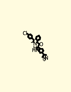 C[C@@H](Cc1ccc(Cl)cc1)N[C@@H](C(=O)c1c[nH]c2cc(-c3cnn(C)c3)ccc12)c1ccccc1